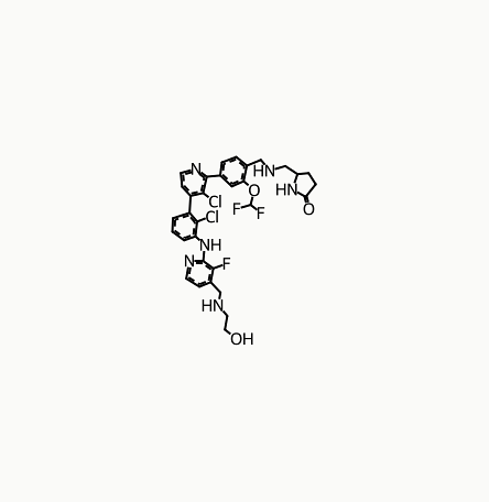 O=C1CCC(CNCc2ccc(-c3nccc(-c4cccc(Nc5nccc(CNCCO)c5F)c4Cl)c3Cl)cc2OC(F)F)N1